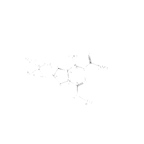 CNC(=O)C[C@@H](O)[C@@H]1C[C@@H](O[Si](C)(C)C(C)(C)C)CN1C(=O)OC(C)(C)C